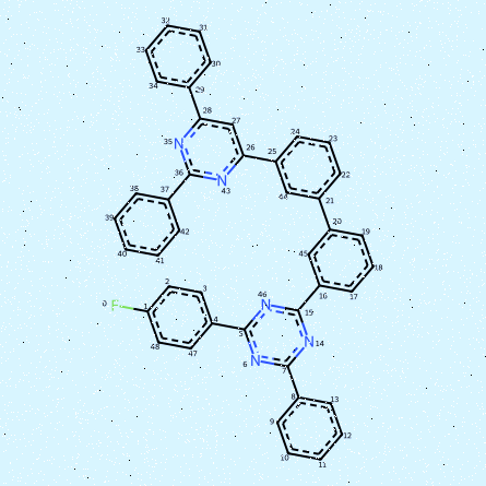 Fc1ccc(-c2nc(-c3ccccc3)nc(-c3cccc(-c4cccc(-c5cc(-c6ccccc6)nc(-c6ccccc6)n5)c4)c3)n2)cc1